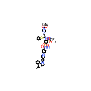 CC(C)(C)OC(=O)N1CCN(CCC(CSc2ccccc2)Nc2ccc(S(=O)(=O)NC(=O)c3ccc(N4CCC5(CC4)CC(N4CCC[C@H]4c4ccccc4C4CC4)C5)cc3)cc2S(=O)(=O)C(F)(F)F)CC1